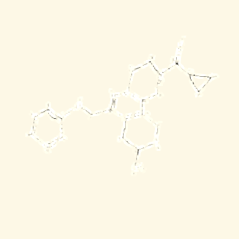 CC1Cc2c(COc3ccccc3)nc3c(c2CO1)CN(C(=O)C1CC1)CC3